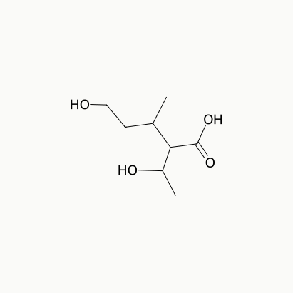 CC(O)C(C(=O)O)C(C)CCO